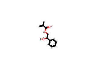 C=C(C)C(=O)OCC(O)c1ccccc1